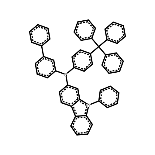 c1ccc(-c2cccc(N(c3ccc(C(c4ccccc4)(c4ccccc4)c4ccccc4)cc3)c3ccc4c5ccccc5n(-c5ccccc5)c4c3)c2)cc1